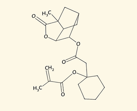 C=C(C)C(=O)OC1(CC(=O)OC2C3CC4C2OC(=O)C4(C)C3)CCCCC1